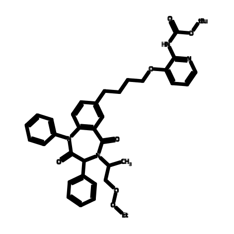 CCOOCC(C)N1C(=O)c2cc(CCCCOc3cccnc3NC(=O)OC(C)(C)C)ccc2N(c2ccccc2)C(=O)C1c1ccccc1